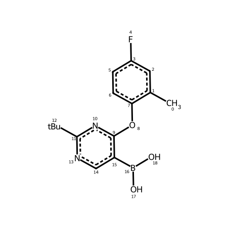 Cc1cc(F)ccc1Oc1nc(C(C)(C)C)ncc1B(O)O